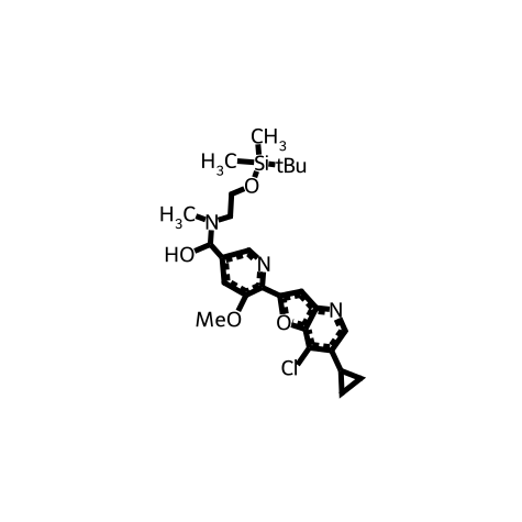 COc1cc(C(O)N(C)CCO[Si](C)(C)C(C)(C)C)cnc1-c1cc2ncc(C3CC3)c(Cl)c2o1